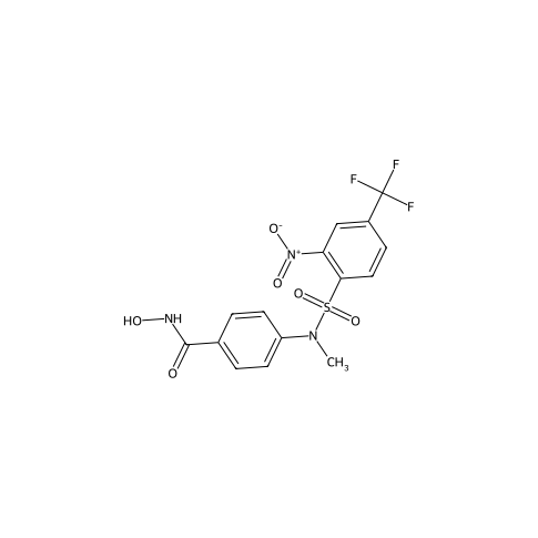 CN(c1ccc(C(=O)NO)cc1)S(=O)(=O)c1ccc(C(F)(F)F)cc1[N+](=O)[O-]